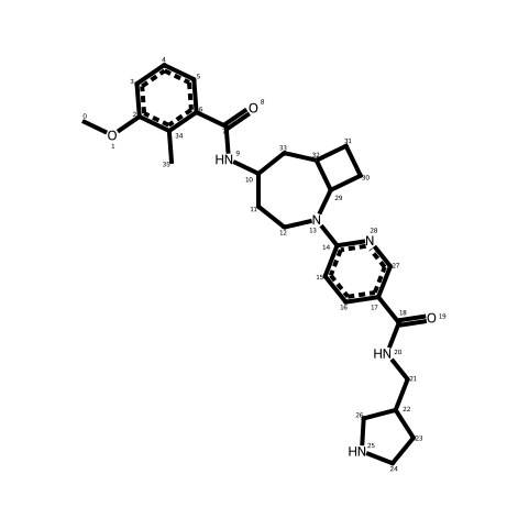 COc1cccc(C(=O)NC2CCN(c3ccc(C(=O)NCC4CCNC4)cn3)C3CCC3C2)c1C